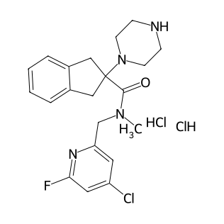 CN(Cc1cc(Cl)cc(F)n1)C(=O)C1(N2CCNCC2)Cc2ccccc2C1.Cl.Cl